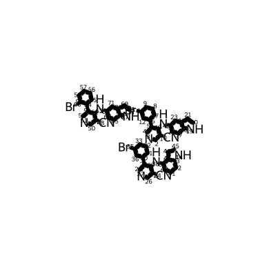 N#Cc1cncc(-c2cccc(Br)c2)c1Nc1ccc2[nH]ccc2c1.N#Cc1cncc(-c2cccc(Br)c2)c1Nc1cccc2[nH]ccc12.N#Cc1cncc(-c2ccccc2Br)c1Nc1ccc2[nH]ccc2c1